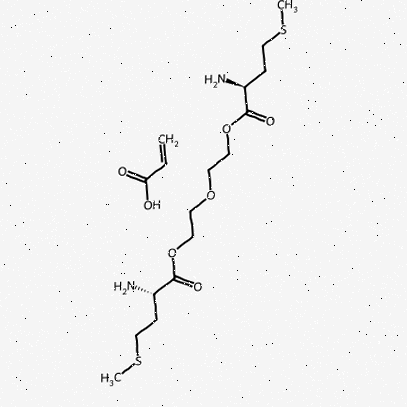 C=CC(=O)O.CSCC[C@H](N)C(=O)OCCOCCOC(=O)[C@@H](N)CCSC